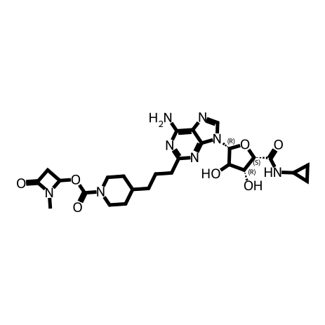 CN1C(=O)CC1OC(=O)N1CCC(CCCc2nc(N)c3ncn([C@@H]4O[C@H](C(=O)NC5CC5)[C@H](O)C4O)c3n2)CC1